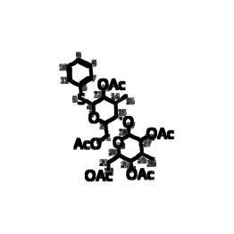 CC(=O)OCC1O[C@@H](Sc2ccccc2)C(OC(C)=O)[C@@H](C)[C@@H]1O[C@@H]1OC(COC(C)=O)[C@H](OC(C)=O)[C@H](C)C1OC(C)=O